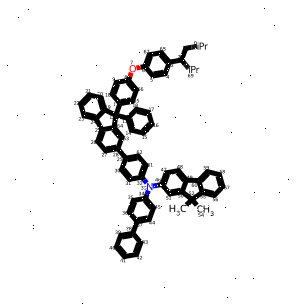 CC(C)CC(c1ccc(Oc2ccc(C3(c4ccccc4)c4ccccc4-c4ccc(-c5ccc(N(c6ccc(-c7ccccc7)cc6)c6ccc7c(c6)C(C)(C)c6ccccc6-7)cc5)cc43)cc2)cc1)C(C)C